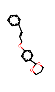 C(=C\c1ccccc1)/COc1ccc(C2OCCCO2)cc1